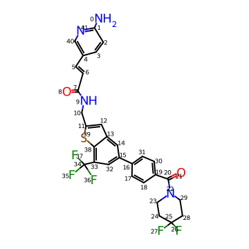 Nc1ccc(/C=C/C(=O)NCc2cc3cc(-c4ccc(C(=O)N5CCC(F)(F)CC5)cc4)cc(C(F)(F)F)c3s2)cn1